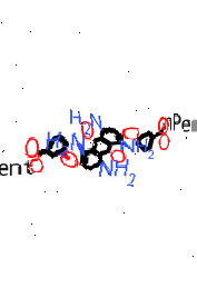 CCCCCOC(=O)c1cccc(Oc2cc(N)c3c(c2N)C(=O)c2c(N)cc(Oc4cccc(C(=O)OCCCCC)c4)c(N)c2C3=O)c1